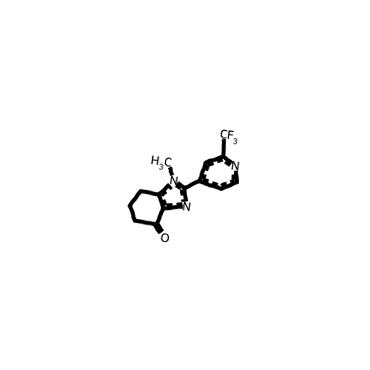 Cn1c(-c2ccnc(C(F)(F)F)c2)nc2c1CCCC2=O